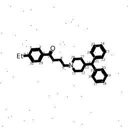 CCc1ccc(C(=O)CCCN2CCC(C(c3ccccc3)c3ccccc3)CC2)cc1